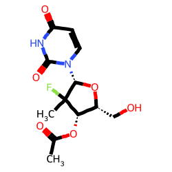 CC(=O)O[C@H]1[C@@H](CO)O[C@@H](n2ccc(=O)[nH]c2=O)C1(C)F